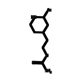 CC(=O)C1CC(CCOC(N)=O)CCN1